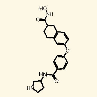 O=C(NC1CCNC1)c1ccc(Oc2ccc3c(c2)CCC(C(=O)NO)C3)cc1